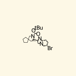 CC(C)(C)OC(=O)N1CC2(CCCC2)C[C@@H]1c1cn2cc(Br)ccc2n1